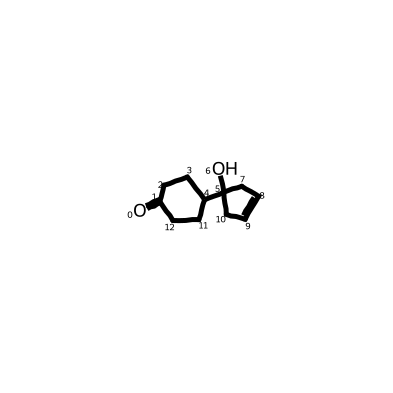 O=C1CCC(C2(O)CC=CC2)CC1